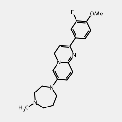 COc1ccc(C2=CCN3C=C(N4CCCN(C)CC4)C=CC3=N2)cc1F